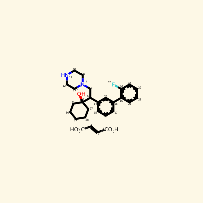 O=C(O)C=CC(=O)O.OC1(C(CN2CCNCC2)c2cccc(-c3ccccc3F)c2)CCCCC1